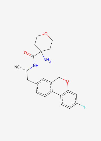 N#C[C@@H](Cc1ccc2c(c1)COc1cc(F)ccc1-2)NC(=O)C1(N)CCOCC1